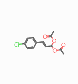 CC(=O)OC(C=Cc1ccc(Cl)cc1)OC(C)=O